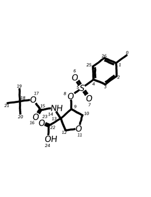 Cc1ccc(S(=O)(=O)OC2COCC2(NC(=O)OC(C)(C)C)C(=O)O)cc1